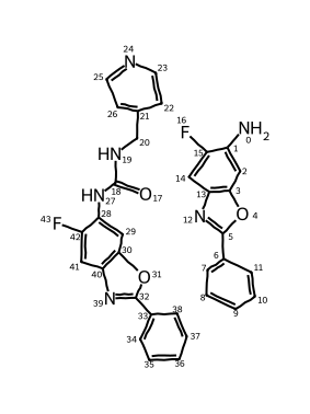 Nc1cc2oc(-c3ccccc3)nc2cc1F.O=C(NCc1ccncc1)Nc1cc2oc(-c3ccccc3)nc2cc1F